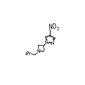 CC(C)CN1CC(n2cc([N+](=O)[O-])cn2)C1